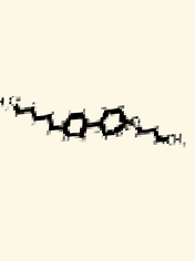 CCCCCCC1C=CC(c2ccc(OCCCC)cc2)=CC1